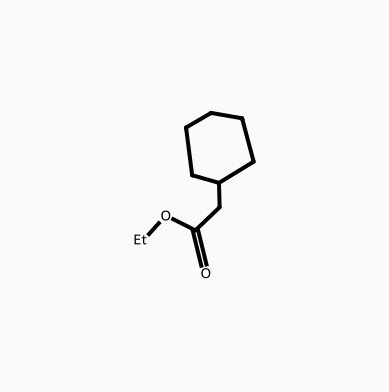 [CH2]COC(=O)CC1CCCCC1